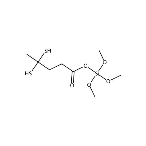 CO[Si](OC)(OC)OC(=O)CCC(C)(S)S